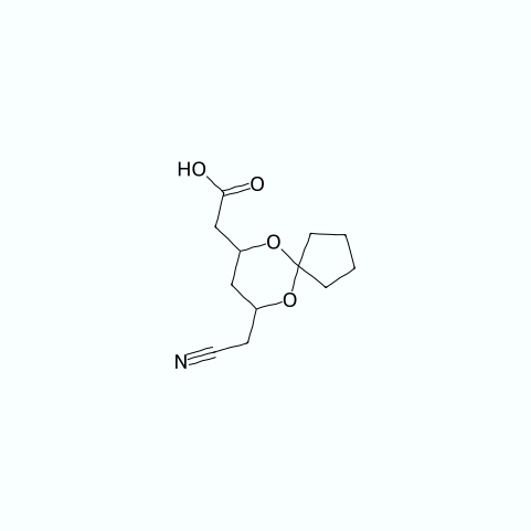 N#CCC1CC(CC(=O)O)OC2(CCCC2)O1